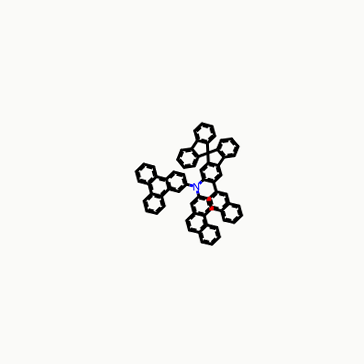 c1ccc2c(c1)-c1ccccc1C21c2ccccc2-c2cc(-c3ccc4ccccc4c3)c(N(c3ccc4c(ccc5ccccc54)c3)c3ccc4c5ccccc5c5ccccc5c4c3)cc21